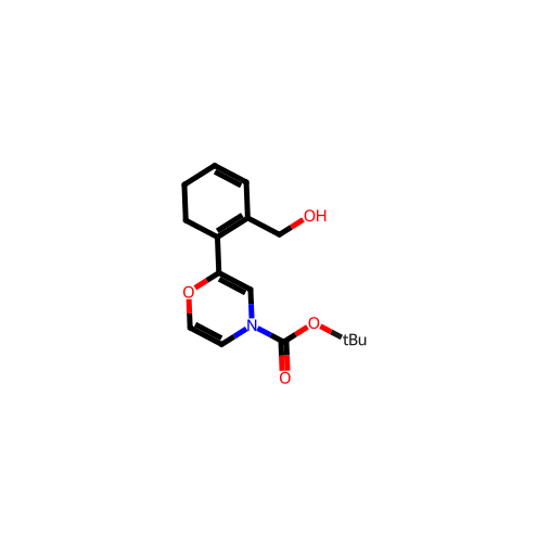 CC(C)(C)OC(=O)N1C=COC(C2=C(CO)C=CCC2)=C1